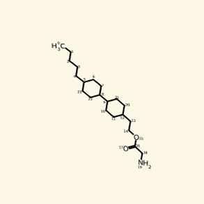 CCCCCC1CCC(C2CCC(CCOC(=O)CN)CC2)CC1